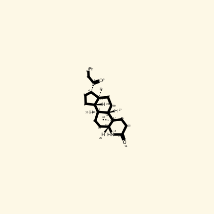 CC(C)CC(=O)[C@H]1CC[C@H]2[C@@H]3CC[C@H]4NC(=O)CC[C@]4(C)[C@H]3CC[C@]12C